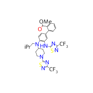 COC(=O)c1ccccc1-c1ccc(N(CC(C)C)C2CCN(c3nc(C(F)(F)F)ns3)CC2)c(Nc2nc(C(F)(F)F)ns2)c1